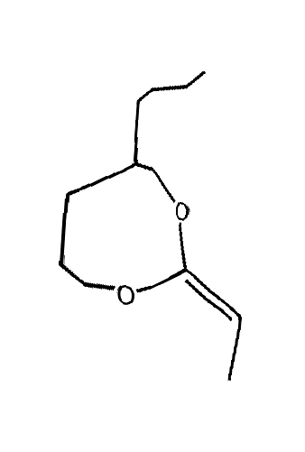 CC=C1OCCC(CC)O1